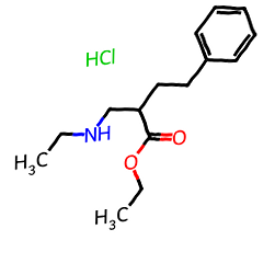 CCNCC(CCc1ccccc1)C(=O)OCC.Cl